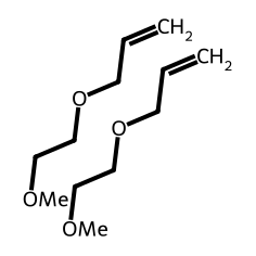 C=CCOCCOC.C=CCOCCOC